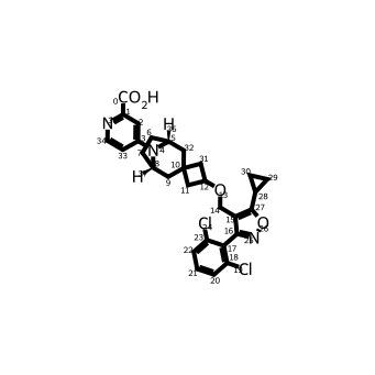 O=C(O)c1cc(N2[C@@H]3CC[C@H]2CC2(CC(OCc4c(-c5c(Cl)cccc5Cl)noc4C4CC4)C2)C3)ccn1